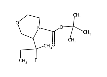 CCC(C)(F)C1COCCN1C(=O)OC(C)(C)C